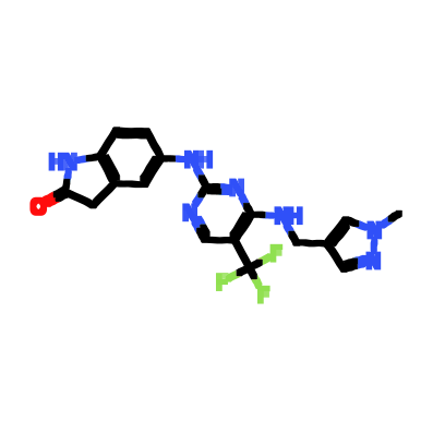 Cn1cc(CNc2nc(Nc3ccc4c(c3)CC(=O)N4)ncc2C(F)(F)F)cn1